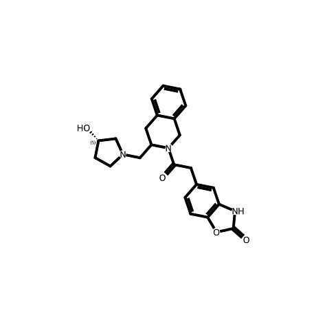 O=C(Cc1ccc2oc(=O)[nH]c2c1)N1Cc2ccccc2CC1CN1CC[C@H](O)C1